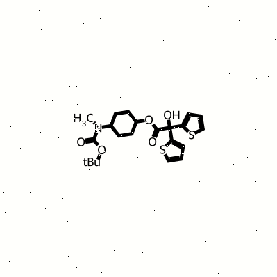 CN(C(=O)OC(C)(C)C)C1CCC(OC(=O)C(O)(c2cccs2)c2cccs2)CC1